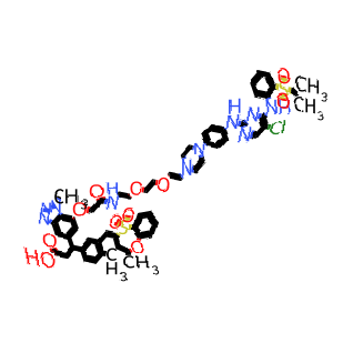 Cc1ccc(C(CC(=O)O)c2cc(OCC(=O)NCCOCCOCCN3CCN(c4ccc(Nc5ncc(Cl)c(Nc6ccccc6S(=O)(=O)C(C)C)n5)cc4)CC3)c3c(c2)nnn3C)cc1CC1CC(C)Oc2ccccc2S1(=O)=O